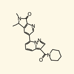 CC1c2cc(-c3cccc4c(C(=O)N5CCCCC5)cnn34)cnc2C(=O)N1C